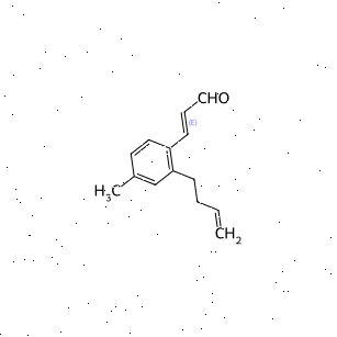 C=CCCc1cc(C)ccc1/C=C/C=O